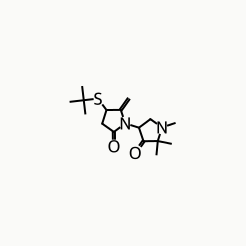 C=C1C(SC(C)(C)C)CC(=O)N1C1CN(C)C(C)(C)C1=O